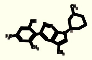 Cc1cc(C(F)(F)F)cc(O)c1-c1cc2c(C)cn([C@@H]3CCCN(C)C3)c2nn1